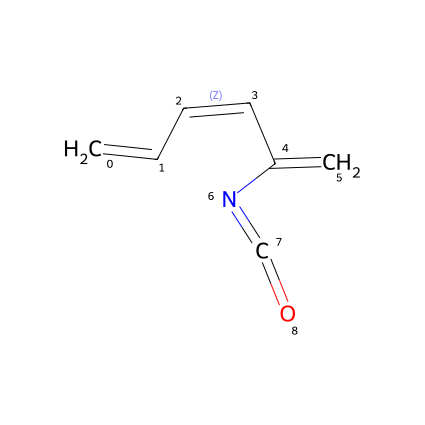 C=C/C=C\C(=C)N=C=O